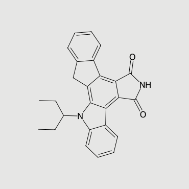 CCC(CC)n1c2ccccc2c2c3c(c4c(c21)Cc1ccccc1-4)C(=O)NC3=O